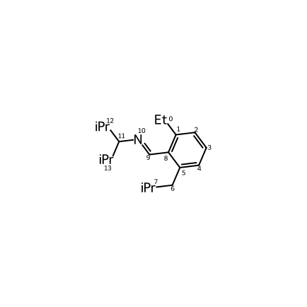 CCc1cccc(CC(C)C)c1C=NC(C(C)C)C(C)C